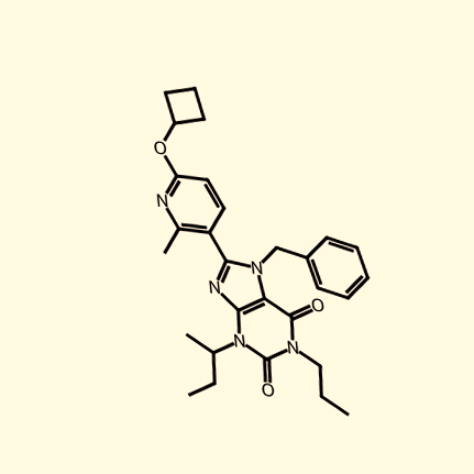 CCCn1c(=O)c2c(nc(-c3ccc(OC4CCC4)nc3C)n2Cc2ccccc2)n(C(C)CC)c1=O